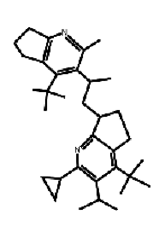 Cc1nc2c(c(C(C)(C)C)c1C(C)CC1CCc3c1nc(C1CC1)c(C(C)C)c3C(C)(C)C)CCC2